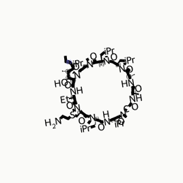 C/C=C/C[C@@H](C)[C@@H](O)[C@@H]1C(=O)N[C@H](CC)C(=O)N(C)[C@H](CSCCN)C(=O)N(C)[C@@H](CC(C)C)C(=O)N[C@H](C(C)C)C(=O)N(C)CC(=O)N[C@H](C)C(=O)N[C@@H](C)C(=O)N(C)[C@H](CC(C)C)C(=O)N(C)[C@H](CC(C)C)C(=O)N(C)[C@H](C(C)C)C(=O)N1C